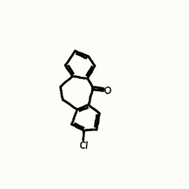 O=C1c2ccccc2CCc2cc(Cl)ccc21